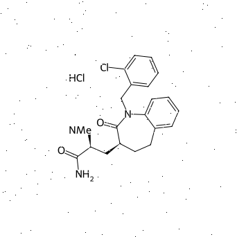 CN[C@@H](C[C@@H]1CCc2ccccc2N(Cc2ccccc2Cl)C1=O)C(N)=O.Cl